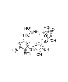 CC(N)O.Nc1ncnc2c1ncn2[C@@H]1O[C@H](COP(=O)(O)OP(=O)(O)O)C(O)C1O